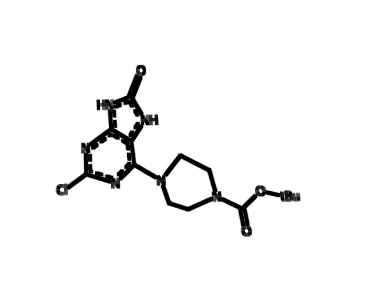 CC(C)(C)OC(=O)N1CCN(c2nc(Cl)nc3[nH]c(=O)[nH]c23)CC1